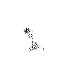 Cc1ccc2c(c1)nc(N)c1ncc(CCc3ccc(-c4nnn[nH]4)cc3C)cc12